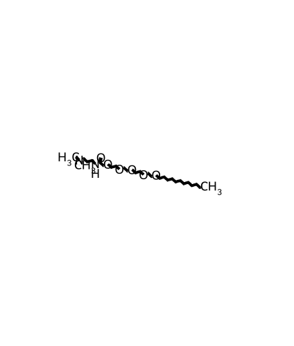 CCCCCCCCCCCCOCCOCCOCCOCCOCC(=O)NCCCN(C)C